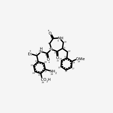 CCC(NC(=O)N1CC(=O)NCC(Cc2ccccc2OC)C1=O)c1ccc(C(=O)O)c(N)c1